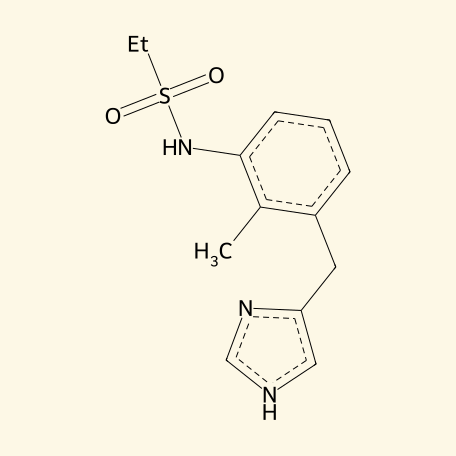 CCS(=O)(=O)Nc1cccc(Cc2c[nH]cn2)c1C